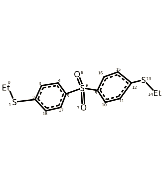 CCSc1ccc(S(=O)(=O)c2ccc(SCC)cc2)cc1